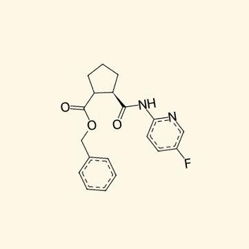 O=C(OCc1ccccc1)C1CCC[C@H]1C(=O)Nc1ccc(F)cn1